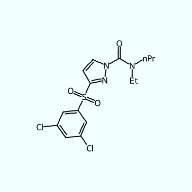 CCCN(CC)C(=O)n1ccc(S(=O)(=O)c2cc(Cl)cc(Cl)c2)n1